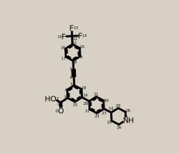 O=C(O)c1cc(C#Cc2ccc(C(F)(F)F)cc2)cc(-c2ccc(C3CCNCC3)cc2)c1